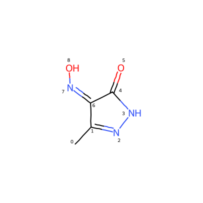 CC1=NNC(=O)C1=NO